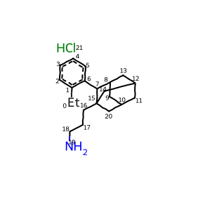 CCc1ccccc1C1C2CC3CC(C2)CC1(CCCN)C3.Cl